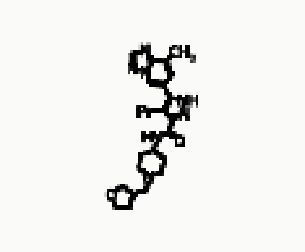 Cc1cc(-c2[nH]nc(C(=O)NC3CCN(CC4CCOC4)CC3)c2C(C)C)cn2ncnc12